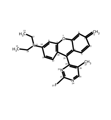 C=c1ccc2c(c1)Oc1cc(N(CC)CC)ccc1C=2c1nc(F)ncc1C